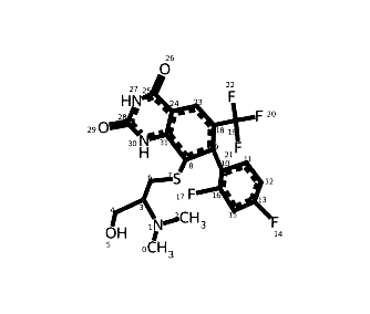 CN(C)C(CO)CSc1c(-c2ccc(F)cc2F)c(C(F)(F)F)cc2c(=O)[nH]c(=O)[nH]c12